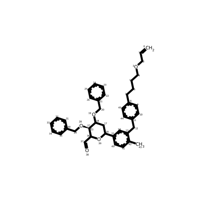 C=CCOCCCCc1ccc(Cc2cc(C3CC(OCc4ccccc4)[C@H](OCc4ccccc4)C(C=O)O3)ccc2C)cc1